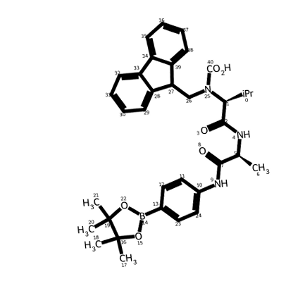 CC(C)[C@@H](C(=O)N[C@@H](C)C(=O)Nc1ccc(B2OC(C)(C)C(C)(C)O2)cc1)N(CC1c2ccccc2-c2ccccc21)C(=O)O